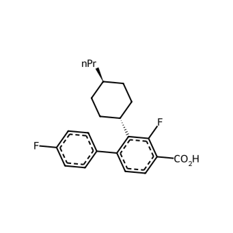 CCC[C@H]1CC[C@H](c2c(-c3ccc(F)cc3)ccc(C(=O)O)c2F)CC1